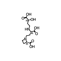 O=C(O)[C@H]1CCN1CC[C@@H](NCC[C@H](O)C(=O)O)C(=O)O